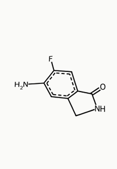 Nc1cc2c(cc1F)C(=O)NC2